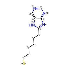 [S]CCCCCCc1nc2ncncc2[nH]1